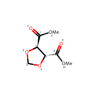 COC(=O)[C@@H]1O[CH]O[C@H]1C(=O)OC